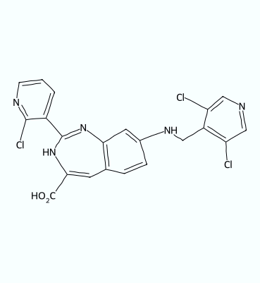 O=C(O)C1=Cc2ccc(NCc3c(Cl)cncc3Cl)cc2N=C(c2cccnc2Cl)N1